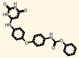 O=C(Nc1ccc(Oc2ccc(Nc3cc(=O)[nH]c(=O)[nH]3)cc2)cc1)Oc1ccccc1